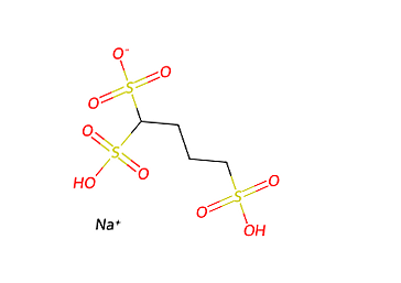 O=S(=O)(O)CCCC(S(=O)(=O)[O-])S(=O)(=O)O.[Na+]